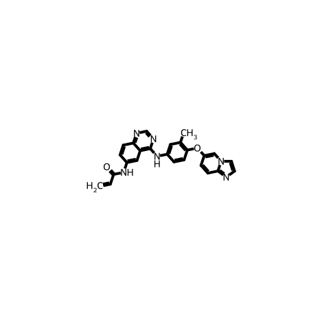 C=CC(=O)Nc1ccc2ncnc(Nc3ccc(Oc4ccc5nccn5c4)c(C)c3)c2c1